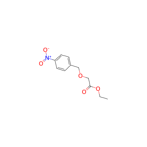 CCOC(=O)COCc1ccc([N+](=O)[O-])cc1